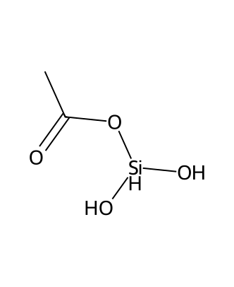 CC(=O)O[SiH](O)O